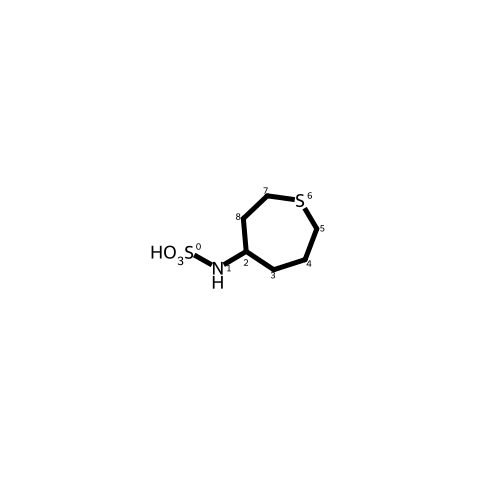 O=S(=O)(O)NC1CCCSCC1